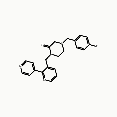 O=C1CN(Cc2ccc(F)cc2)CCN1Cc1cccnc1-c1ccncc1